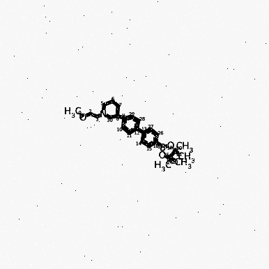 COCCN1CCCC(c2ccc(-c3ccc(B4OC(C)(C)C(C)(C)O4)cc3)cc2)C1